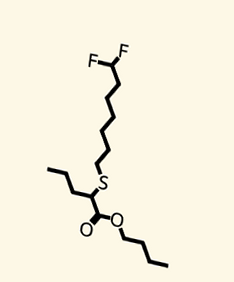 CCCCOC(=O)C(CCC)SCCCCCCC(F)F